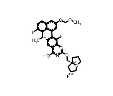 CCc1c(F)ccc2cc(OCOC)cc(-c3c(F)cc4c(O)nc(OC[C@@]56CCCN5C[C@H](F)C6)nc4c3F)c12